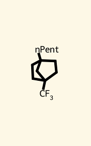 CCCCCC12CCC(C(F)(F)F)(CC1)C2